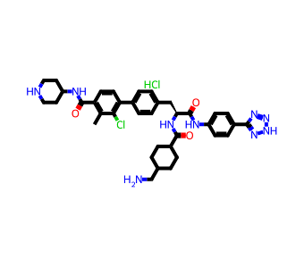 Cc1c(C(=O)NC2CCNCC2)ccc(-c2ccc(C[C@H](NC(=O)C3CCC(CN)CC3)C(=O)Nc3ccc(-c4nn[nH]n4)cc3)cc2)c1Cl.Cl